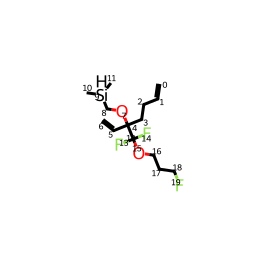 C=CCCC(C=C)(OC[SiH](C)C)C(F)(F)OCCCF